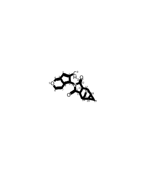 Cc1cc2coccc-2c1N1C(=O)C2C3CCC(C4CC43)C2C1=O